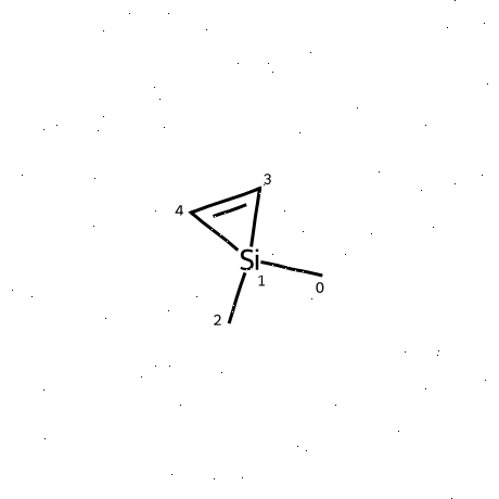 C[Si]1(C)C=C1